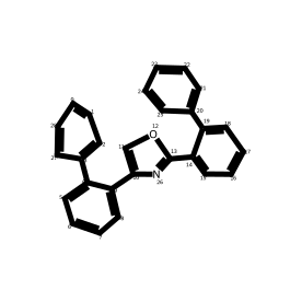 c1ccc(-c2ccccc2-c2coc(-c3ccccc3-c3ccccc3)n2)cc1